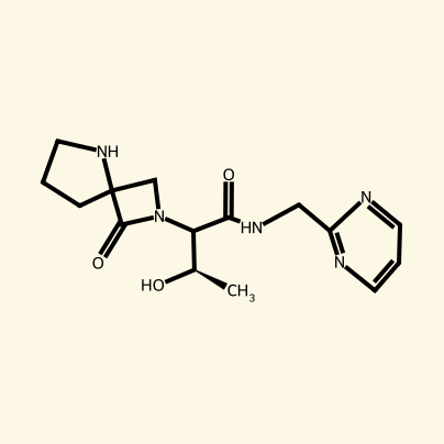 C[C@@H](O)C(C(=O)NCc1ncccn1)N1CC2(CCCN2)C1=O